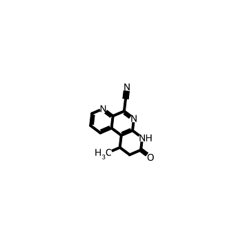 CC1CC(=O)Nc2nc(C#N)c3ncccc3c21